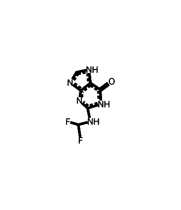 O=c1[nH]c(NC(F)F)nc2nc[nH]c12